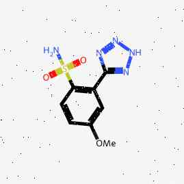 COc1ccc(S(N)(=O)=O)c(-c2nn[nH]n2)c1